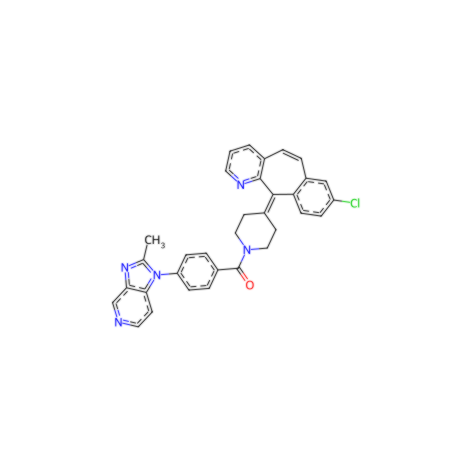 Cc1nc2cnccc2n1-c1ccc(C(=O)N2CCC(=C3c4ccc(Cl)cc4C=Cc4cccnc43)CC2)cc1